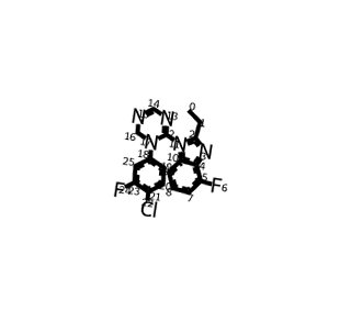 CCc1nc2c(F)cccc2n1C1=NC=NCN1c1ccc(Cl)c(F)c1